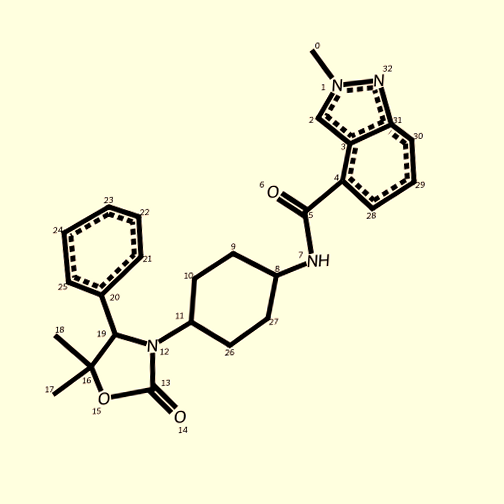 Cn1cc2c(C(=O)NC3CCC(N4C(=O)OC(C)(C)C4c4ccccc4)CC3)cccc2n1